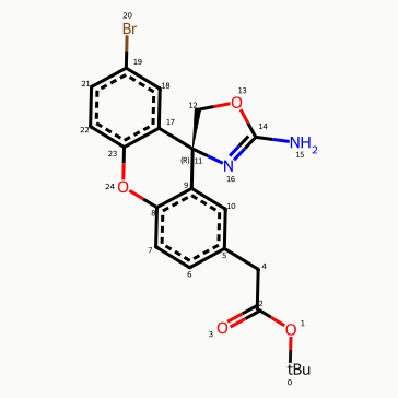 CC(C)(C)OC(=O)Cc1ccc2c(c1)[C@]1(COC(N)=N1)c1cc(Br)ccc1O2